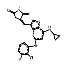 O=C1CC(=Cc2cnn3c(NC4CC4)cc(Nc4cccc(F)c4Cl)nc23)C(=O)N1